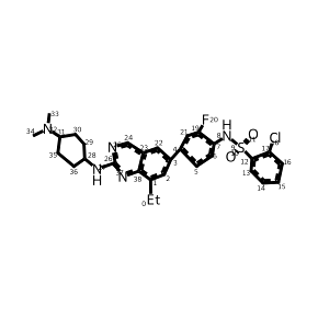 CCc1cc(-c2ccc(NS(=O)(=O)c3ccccc3Cl)c(F)c2)cc2cnc(NC3CCC(N(C)C)CC3)nc12